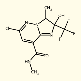 CNC(=O)C1=CC(Cl)=NN2C1=NC(O)(C(F)(F)F)C2C